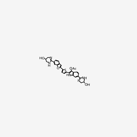 CC(=O)Oc1c(-c2ccc(-c3cc4ccc(C5=NCC(O)CN5)cc4o3)s2)[nH]c2cc(C3=NCC(O)CN3)ccc12